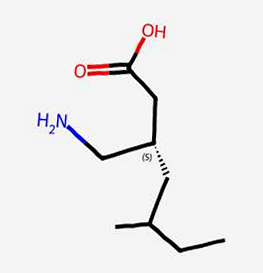 CCC(C)C[C@H](CN)CC(=O)O